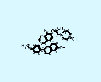 CCN(Cc1ccc(OC(C)CN2CCCN(C)CC2)c(F)c1)c1cc(OC)ccc1C1CCc2cc(O)ccc2C1